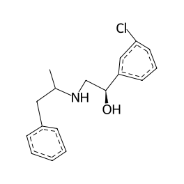 CC(Cc1ccccc1)NC[C@H](O)c1cccc(Cl)c1